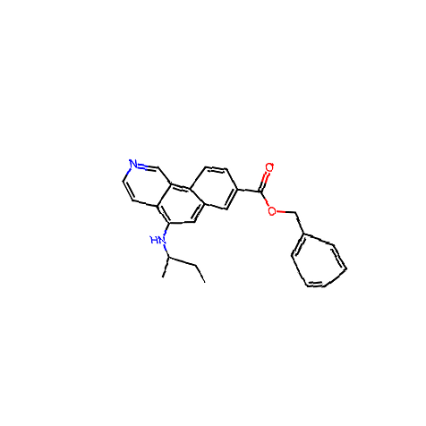 CCC(C)Nc1cc2cc(C(=O)OCc3ccccc3)ccc2c2cnccc12